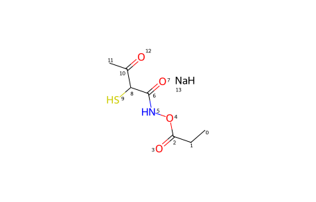 CCC(=O)ONC(=O)C(S)C(C)=O.[NaH]